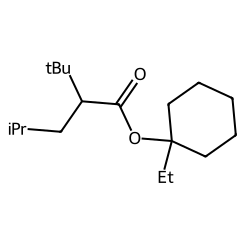 CCC1(OC(=O)C(CC(C)C)C(C)(C)C)CCCCC1